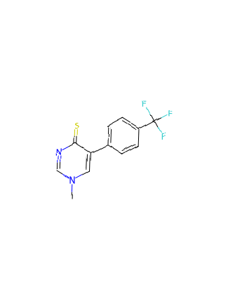 Cn1cnc(=S)c(-c2ccc(C(F)(F)F)cc2)c1